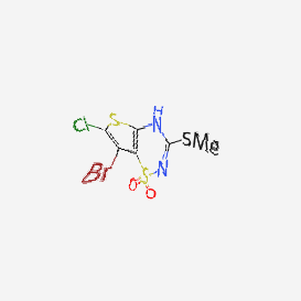 CSC1=NS(=O)(=O)c2c(sc(Cl)c2Br)N1